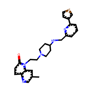 Cc1cnc2ccc(=O)n(CCN3CCC(NCc4cccc(-c5ccsc5)n4)CC3)c2c1